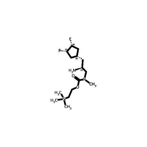 CN(C[C@@H](N)C[C@H]1C[C@@H](F)[C@@H](F)C1)C(=O)OCC[Si](C)(C)C